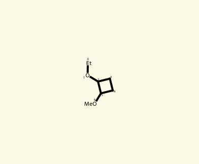 CCOC1C[CH]C1OC